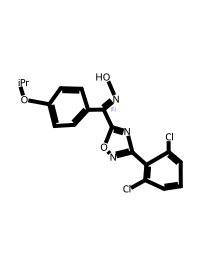 CC(C)Oc1ccc(/C(=N\O)c2nc(-c3c(Cl)cccc3Cl)no2)cc1